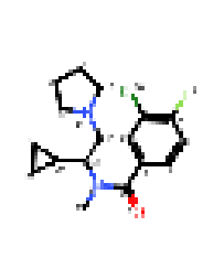 CN(C(=O)c1ccc(F)c(Cl)c1)[C@H](CN1CCCC1)C1CC1